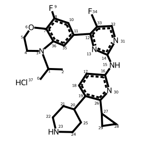 CC(C)N1CCOc2c(F)cc(-c3nc(Nc4ccc(C5CCNCC5)c(C5CC5)n4)ncc3F)cc21.Cl